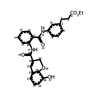 CCOC(=O)CCc1cccc(NC(=O)c2ccccc2NC(=O)C2=Cc3cccc(O)c3OC2)c1